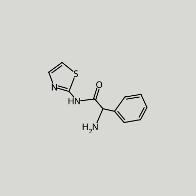 NC(C(=O)Nc1nccs1)c1ccccc1